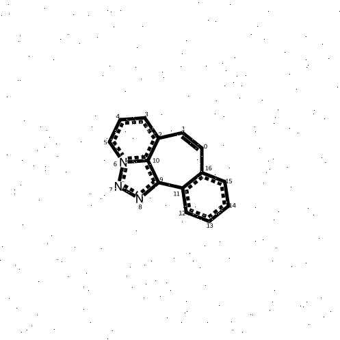 C1=Cc2cccn3nnc(c23)-c2ccccc21